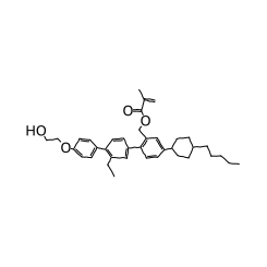 C=C(C)C(=O)OCc1cc(C2CCC(CCCCC)CC2)ccc1-c1ccc(-c2ccc(OCCO)cc2)c(CC)c1